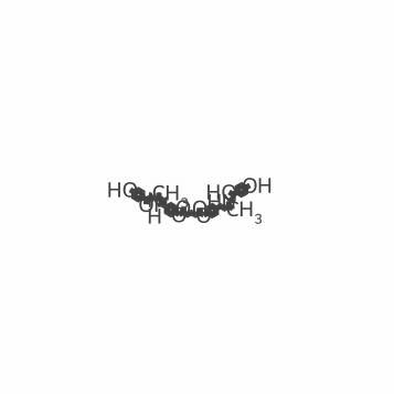 CC(CCc1ccc(OC(=O)CCCC(=O)Oc2ccc(CCC(C)NCC(O)c3ccc(O)cc3)cc2)cc1)NCC(O)c1ccc(O)cc1